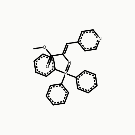 COC(=O)C(=Cc1ccncc1)N=P(c1ccccc1)(c1ccccc1)c1ccccc1